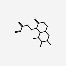 C=CC(=C)CCC1C(=C)CCC2CC(C)C(C)C(C)C21